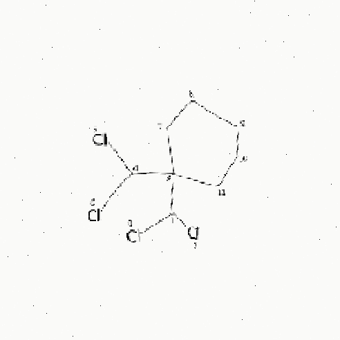 ClC(Cl)C1(C(Cl)Cl)CCCCC1